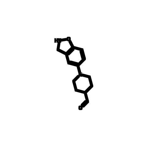 O=CC1CCN(c2ccc3c(c2)CNO3)CC1